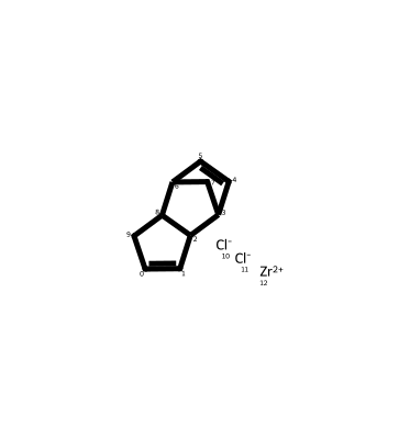 C1=CC2C3C=CC(C3)C2C1.[Cl-].[Cl-].[Zr+2]